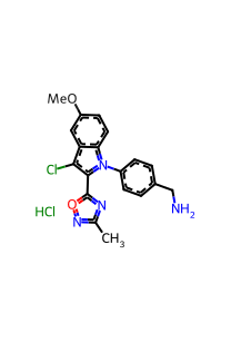 COc1ccc2c(c1)c(Cl)c(-c1nc(C)no1)n2-c1ccc(CN)cc1.Cl